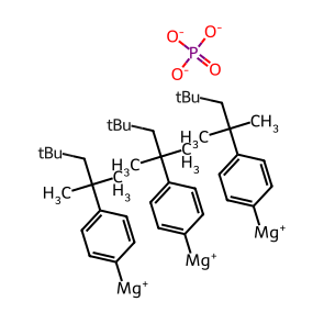 CC(C)(C)CC(C)(C)c1cc[c]([Mg+])cc1.CC(C)(C)CC(C)(C)c1cc[c]([Mg+])cc1.CC(C)(C)CC(C)(C)c1cc[c]([Mg+])cc1.O=P([O-])([O-])[O-]